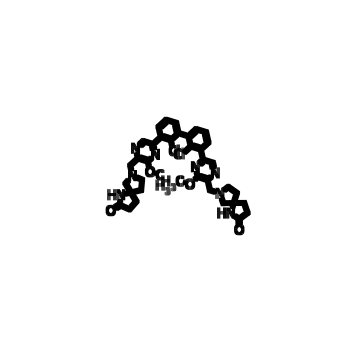 COc1nc(-c2cccc(-c3cccc(-c4cnc(CN5CCC6(CCC(=O)N6)C5)c(OC)n4)c3Cl)c2Cl)cnc1CN1CCC2(CCC(=O)N2)C1